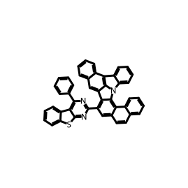 c1ccc(-c2nc(-c3cc4ccc5ccccc5c4c4c3c3cc5ccccc5c5c6ccccc6n4c35)nc3sc4ccccc4c23)cc1